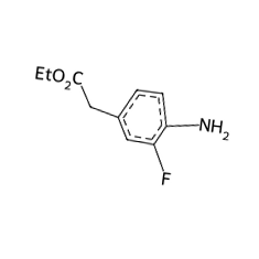 CCOC(=O)Cc1ccc(N)c(F)c1